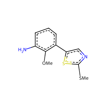 COc1c(N)cccc1-c1cnc(SC)s1